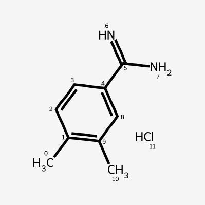 Cc1ccc(C(=N)N)cc1C.Cl